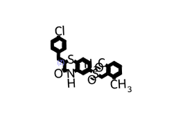 Cc1cccc(C)c1CS(=O)(=O)c1ccc2c(c1)NC(=O)/C(=C/c1ccc(Cl)cc1)S2